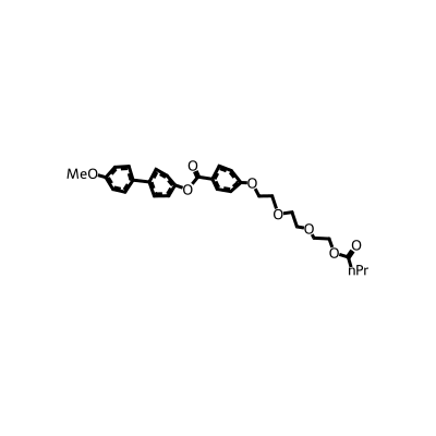 CCCC(=O)OCCOCCOCCOc1ccc(C(=O)Oc2ccc(-c3ccc(OC)cc3)cc2)cc1